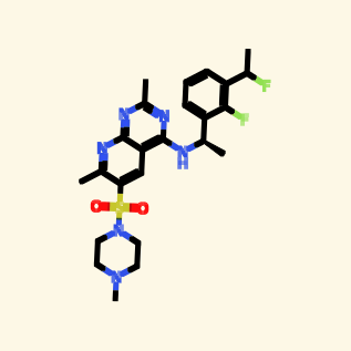 Cc1nc(N[C@H](C)c2cccc(C(C)F)c2F)c2cc(S(=O)(=O)N3CCN(C)CC3)c(C)nc2n1